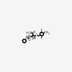 Cc1cc(F)c(COc2nsc(NC(=O)Oc3ccccc3)c2C(N)=O)cc1F